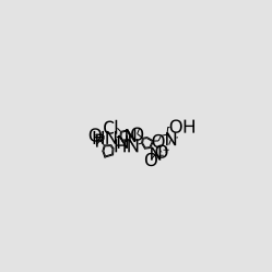 COc1cc(OCC(CO)N(C)C)c([N+](=O)[O-])cc1Nc1ncc(Cl)c(Nc2ccccc2P(C)(C)=O)n1